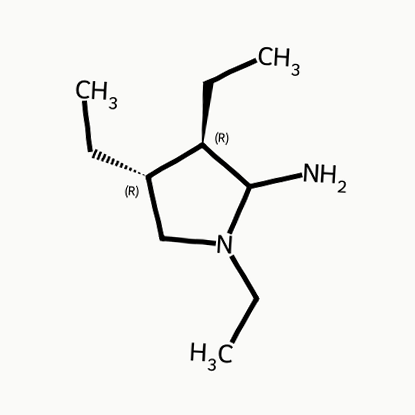 CC[C@H]1CN(CC)C(N)[C@@H]1CC